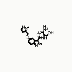 Cn1nccc1COc1ccc2nn(C)c(C(=O)NC(CO)C(N)=O)c2c1